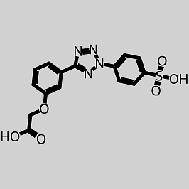 O=C(O)COc1cccc(-c2nnn(-c3ccc(S(=O)(=O)O)cc3)n2)c1